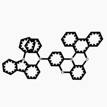 c1ccc(N(c2ccc3c(c2)Oc2cccc4c2B3c2c(c3ccccc3c3ccccc23)O4)c2cccc3c4ccccc4n(-c4ccccc4)c23)cc1